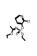 CCOC(C)=NP(=S)(OCC)Oc1cccnc1Cl